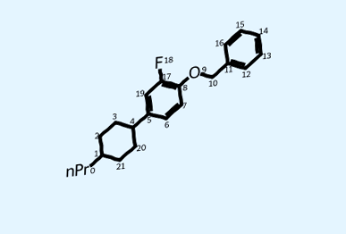 CCCC1CCC(c2ccc(OCc3ccccc3)c(F)c2)CC1